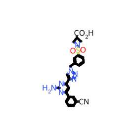 N#Cc1cccc(-c2cc(-c3cn(Cc4cccc(S(=O)(=O)N5CC(C(=O)O)C5)c4)nn3)nc(N)n2)c1